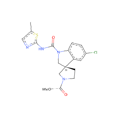 COC(=O)N1CC[C@@]2(C1)CN(C(=O)Nc1ncc(C)s1)c1ccc(Cl)cc12